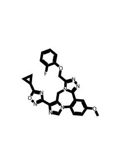 COc1ccc2c(c1)-c1nnc(COc3ccccc3F)n1Cc1c(-c3noc(C4CC4)n3)ncn1-2